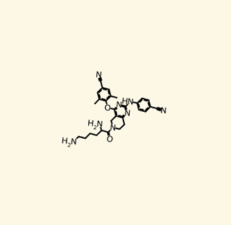 Cc1cc(C#N)cc(C)c1Oc1nc(Nc2ccc(C#N)cc2)nc2c1CN(C(=O)C(N)CCCCN)CC2